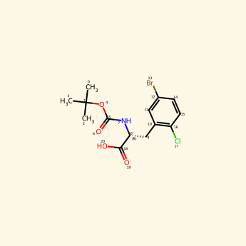 CC(C)(C)OC(=O)N[C@H](Cc1cc(Br)ccc1Cl)C(=O)O